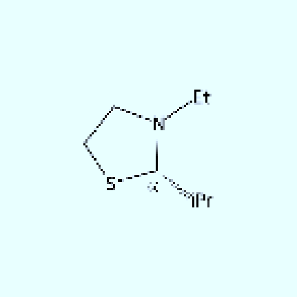 CCN1CCS[C@H]1C(C)C